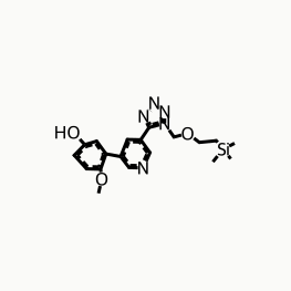 COc1ccc(O)cc1-c1cncc(-c2nnnn2COCC[Si](C)(C)C)c1